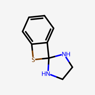 c1ccc2c(c1)SC21NCCN1